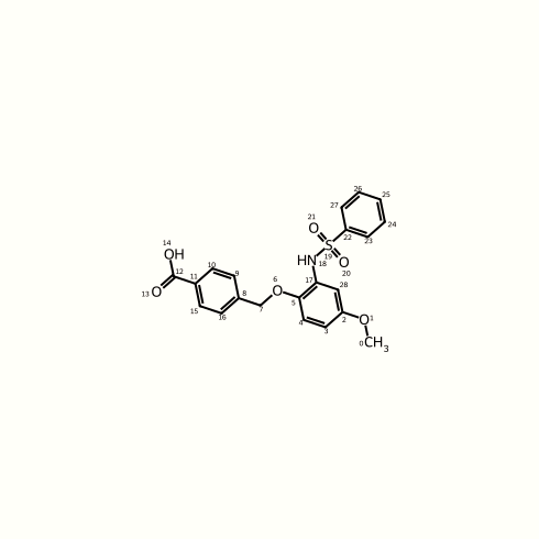 COc1ccc(OCc2ccc(C(=O)O)cc2)c(NS(=O)(=O)c2ccccc2)c1